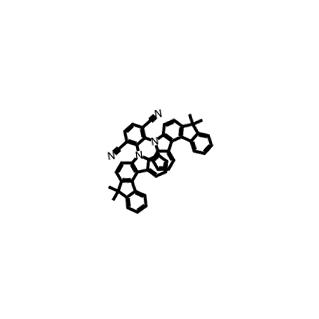 CC1(C)c2ccccc2-c2c1ccc1c2c2ccccc2n1-c1c(C#N)ccc(C#N)c1-n1c2ccccc2c2c3c(ccc21)C(C)(C)c1ccccc1-3